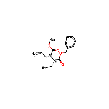 C=CC[C@H](C(=O)OC(C)(C)C)[C@@H](CC(C)C)C(=O)OCc1ccccc1